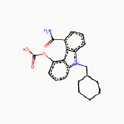 NC(=O)c1cccc2c1c1c(OC(=O)O)cccc1n2CC1CCCCC1